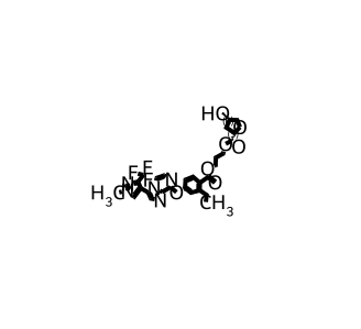 CCc1cc(Oc2nccn3c(-c4cn(C)nc4C(F)(F)F)cnc23)ccc1C(=O)OCCCOC(=O)[C@@H]1C[C@@H](O)CO1